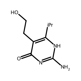 CC(C)c1[nH]c(N)nc(=O)c1CCO